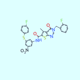 Cc1c(C(=O)Nc2cc(Sc3ccc(F)cc3)cc([N+](=O)[O-])c2)sc2ncn(Cc3ccccc3F)c(=O)c12